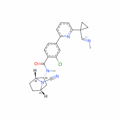 C/N=C/C1(c2cccc(-c3ccc(C(=O)N(C)[C@@H]4C[C@@H]5CC[C@H]4N5C#N)c(Cl)c3)n2)CC1